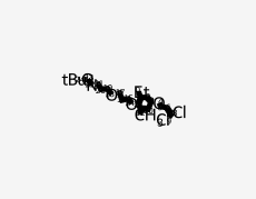 CCc1cc(OCC=C(Cl)Cl)cc(C)c1OCCCOCCC=NOC(C)(C)C